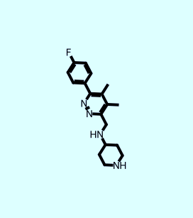 Cc1c(CNC2CCNCC2)nnc(-c2ccc(F)cc2)c1C